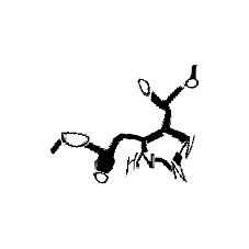 COC(=O)Cc1[nH]nnc1C(=O)OC